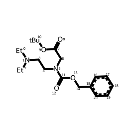 CCN(CC)CCN(CC(=O)OC(C)(C)C)C(=O)OCc1ccccc1